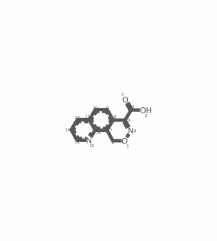 O=C(O)C1=NOCc2c1ccc1cccnc21